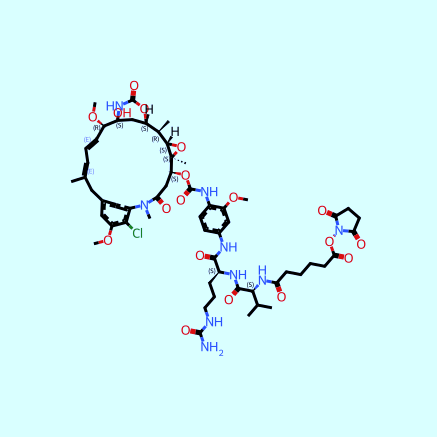 COc1cc(NC(=O)[C@H](CCCNC(N)=O)NC(=O)[C@@H](NC(=O)CCCCC(=O)ON2C(=O)CCC2=O)C(C)C)ccc1NC(=O)O[C@H]1CC(=O)N(C)c2cc(cc(OC)c2Cl)C/C(C)=C/C=C/[C@@H](OC)[C@@]2(O)C[C@H](OC(=O)N2)[C@@H](C)[C@@H]2O[C@@]12C